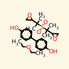 CC(C)(C1CO1)S(=O)(=O)C(C)(C)C1CO1.CCOCC.Oc1ccc(-c2ccc(O)cc2)cc1